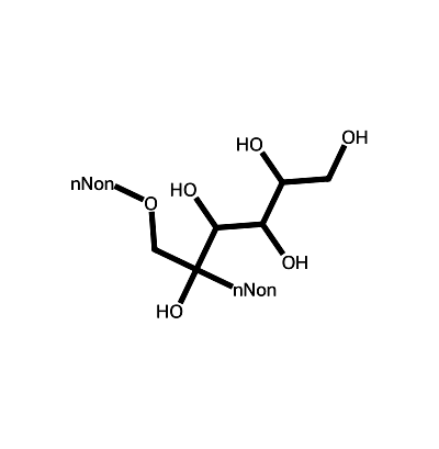 CCCCCCCCCOCC(O)(CCCCCCCCC)C(O)C(O)C(O)CO